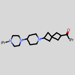 CC(C)C(=O)C1CC2(C1)CC(N1CCC(N3CCN(C(C)C)CC3)CC1)C2